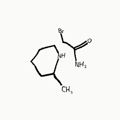 CC1CCCCN1.NC(=O)CBr